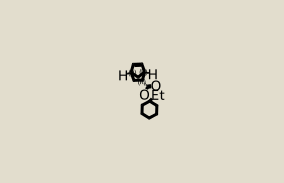 CCC1(OC(=O)[C@@H]2C[C@@H]3C=C[C@H]2C3)CCCCC1